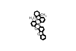 CC12CCCCC1(C)N1c3cccc4c3B(c3cccc2c31)c1ccc2c(oc3ccccc32)c1O4